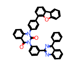 O=c1c2ccccc2n(-c2ccc(-c3cccc4c3oc3ccccc34)cc2)c(=O)n1-c1cccc(-c2nc(-c3ccccc3)c3ccccc3n2)c1